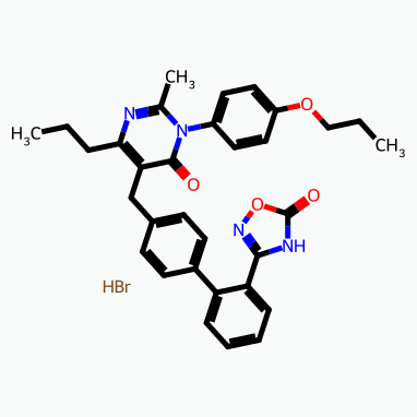 Br.CCCOc1ccc(-n2c(C)nc(CCC)c(Cc3ccc(-c4ccccc4-c4noc(=O)[nH]4)cc3)c2=O)cc1